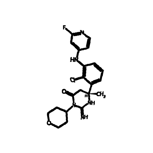 C[C@@]1(c2cccc(Nc3ccnc(F)c3)c2Cl)CC(=O)N(C2CCOCC2)C(=N)N1